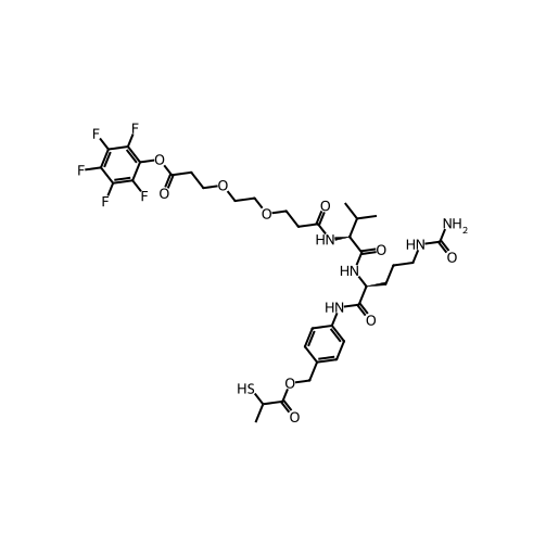 CC(S)C(=O)OCc1ccc(NC(=O)[C@H](CCCNC(N)=O)NC(=O)[C@@H](NC(=O)CCOCCOCCC(=O)Oc2c(F)c(F)c(F)c(F)c2F)C(C)C)cc1